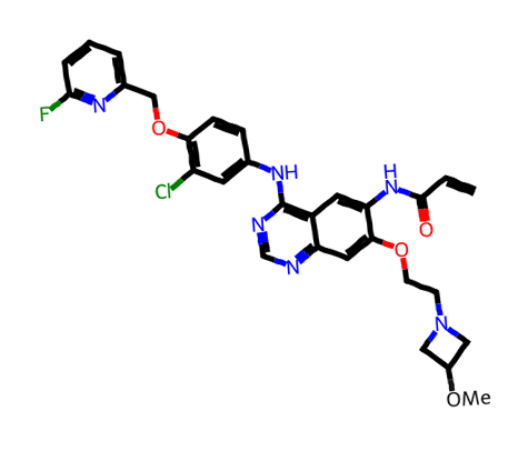 C=CC(=O)Nc1cc2c(Nc3ccc(OCc4cccc(F)n4)c(Cl)c3)ncnc2cc1OCCN1CC(OC)C1